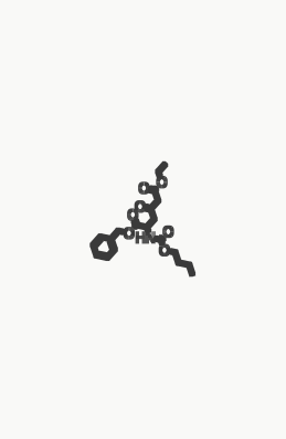 CCCCOC(=O)NC(CC(=O)CC(=O)OCC)C(=O)OCc1ccccc1